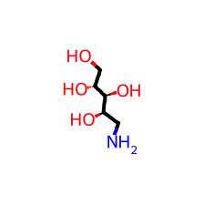 NC[C@@H](O)[C@H](O)[C@H](O)CO